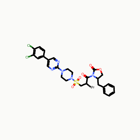 CC(C)C(CS(=O)(=O)N1CCN(c2ncc(-c3ccc(Cl)c(Cl)c3)cn2)CC1)C(=O)N1C(=O)OCC1Cc1ccccc1